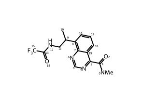 CNC(=O)c1ncnc2c(C(C)CNC(=O)C(F)(F)F)cccc12